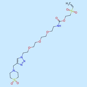 C=CS(=O)(=O)CCOC(=O)NCCOCCOCCOCCn1cc(CN2CCS(=O)(=O)CC2)nn1